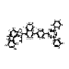 c1ccc(-c2nc(-c3ccccc3)nc(-c3ccc(-c4ccc(C5Nc6c(ccc7oc8ccccc8c67)O5)c5ccccc45)cc3)n2)cc1